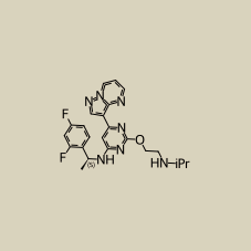 CC(C)NCCOc1nc(N[C@@H](C)c2ccc(F)cc2F)cc(-c2cnn3cccnc23)n1